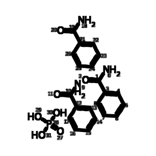 NC(=O)c1ccccc1.NC(=O)c1ccccc1.NC(=O)c1ccccc1.O=P(O)(O)O